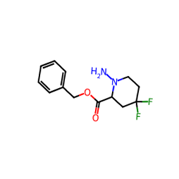 NN1CCC(F)(F)CC1C(=O)OCc1ccccc1